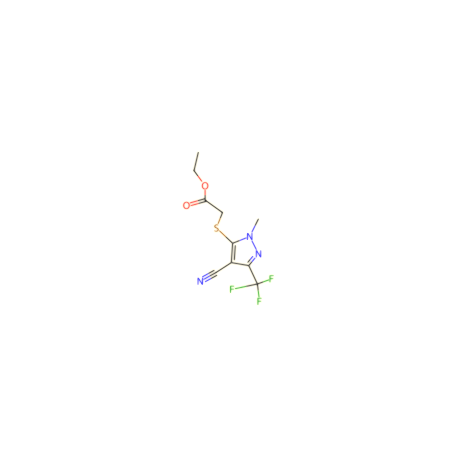 CCOC(=O)CSc1c(C#N)c(C(F)(F)F)nn1C